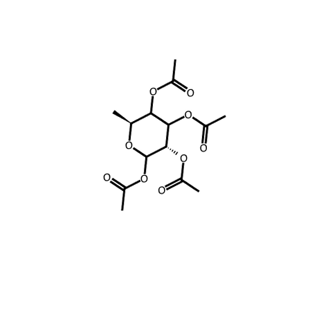 CC(=O)OC1O[C@@H](C)C(OC(C)=O)C(OC(C)=O)[C@@H]1OC(C)=O